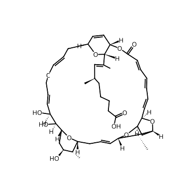 C/C(=C\[C@H](C)CCCCC(=O)O)[C@@H]1O[C@@H]2C=C[C@@H]1OC(=O)\C=C/C=C\C=C\[C@H]1O[C@@H]3C[C@H]1O[C@@H](/C=C/C[C@H]1O[C@H](C[C@H](O)[C@H]1C)[C@@H](O)[C@@H](O)/C=C/CC/C=C/C2)[C@@H]3C